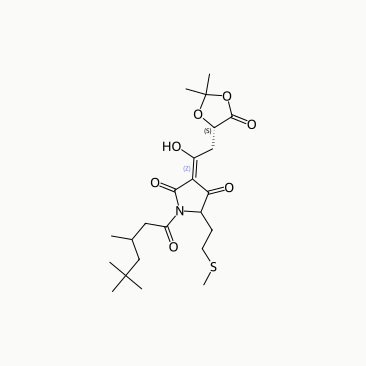 CSCCC1C(=O)/C(=C(/O)C[C@@H]2OC(C)(C)OC2=O)C(=O)N1C(=O)CC(C)CC(C)(C)C